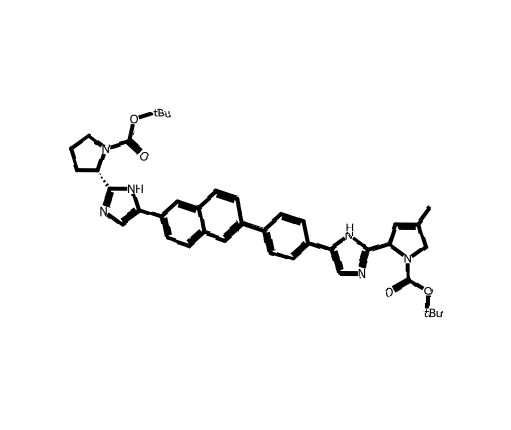 CC1=CC(c2ncc(-c3ccc(-c4ccc5cc(-c6cnc([C@@H]7CCCN7C(=O)OC(C)(C)C)[nH]6)ccc5c4)cc3)[nH]2)N(C(=O)OC(C)(C)C)C1